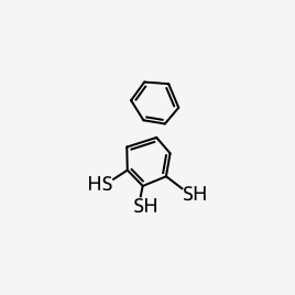 Sc1cccc(S)c1S.c1ccccc1